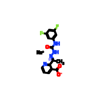 C/C(=N\NC(=O)Nc1cc(F)cc(F)c1)c1ncccc1C(=O)[O-].[Na+]